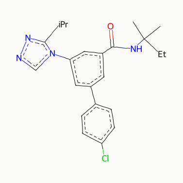 CCC(C)(C)NC(=O)c1cc(-c2ccc(Cl)cc2)cc(-n2cnnc2C(C)C)c1